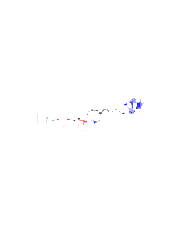 CC(C)CCOCCCC(=O)N1CCC(CCCCN2CCN(C)CC2)CC1